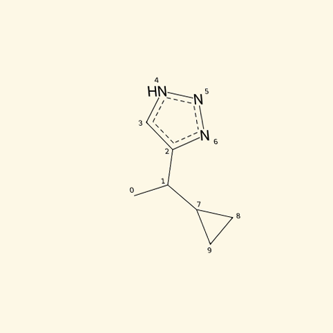 CC(c1c[nH]nn1)C1CC1